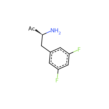 CC(=O)[C@@H](N)Cc1cc(F)cc(F)c1